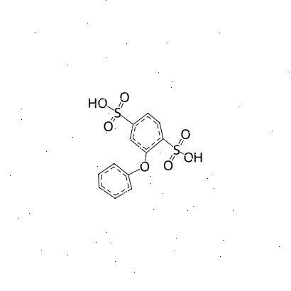 O=S(=O)(O)c1ccc(S(=O)(=O)O)c(Oc2ccccc2)c1